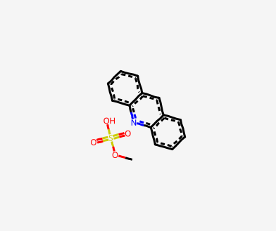 COS(=O)(=O)O.c1ccc2nc3ccccc3cc2c1